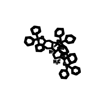 C[C@]12CC[C@@H]3[C@@H](CCC4CC(O[Si](c5ccccc5)(c5ccccc5)c5ccccc5)CC[C@@]43CO[Si](c3ccccc3)(c3ccccc3)c3ccccc3)[C@@H]1CCC2O[Si](c1ccccc1)(c1ccccc1)c1ccccc1